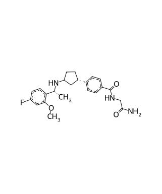 COc1cc(F)ccc1[C@@H](C)NC1CC[C@H](c2ccc(C(=O)NCC(N)=O)cc2)C1